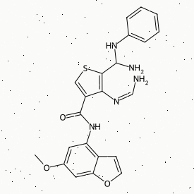 COc1cc(NC(=O)c2csc(C(N)Nc3ccccc3)c2/N=C\N)c2ccoc2c1